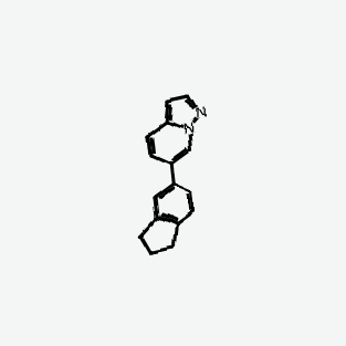 c1cc2ccc(-c3ccc4c(c3)CCC4)cn2n1